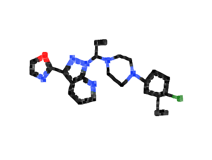 COc1cc(N2CCN(C(C=O)n3nc(-c4ncco4)c4cccnc43)CC2)ccc1Cl